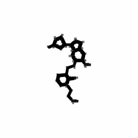 COCCn1cccc(COc2nn3c(-c4cc(C)on4)nnc3cc2OC)c1=O